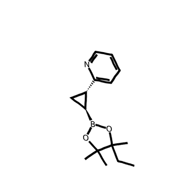 CCC1(C)OB([C@H]2C[C@@H]2c2ccccn2)OC1(C)C